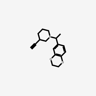 C#CC1CCCN(C(C)c2ccc3c(c2)OCCO3)C1